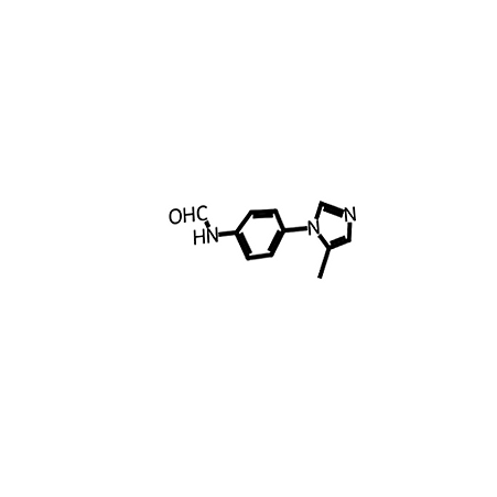 Cc1cncn1-c1ccc(NC=O)cc1